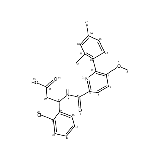 COc1ccc(C(=O)NC(CC(=O)O)c2ccccc2Cl)nc1-c1ccc(F)cc1C